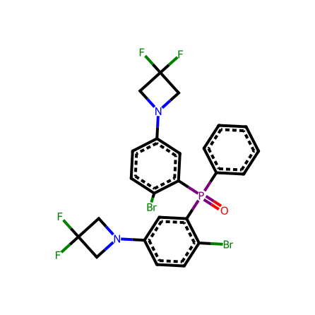 O=P(c1ccccc1)(c1cc(N2CC(F)(F)C2)ccc1Br)c1cc(N2CC(F)(F)C2)ccc1Br